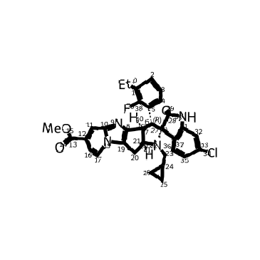 CCc1cccc([C@H]2[C@@H]3c4nc5cc(C(=O)OC)ccn5c4C[C@@H]3N(CC3CC3)[C@@]23C(=O)Nc2cc(Cl)ccc23)c1F